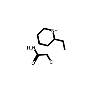 CCC1CCCCN1.NC(=O)CCl